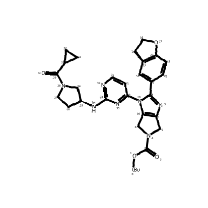 CC(C)(C)OC(=O)N1Cc2nc(-c3ccc4c(c3)CCO4)n(-c3ccnc(N[C@H]4CCN(C(=O)C5CC5)C4)n3)c2C1